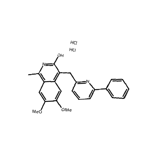 COc1cc2c(C)nc(O)c(Cc3cccc(-c4ccccc4)n3)c2cc1OC.Cl.Cl